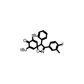 Cc1cc(C2=NOC3(C=C(C(C)(C)C)C(=O)C(C(C)(C)C)=C3)C2c2ccccc2)ccc1F